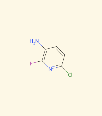 Nc1ccc(Cl)nc1I